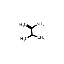 C=C(N)C(C)C